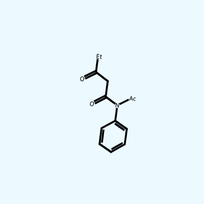 CCC(=O)CC(=O)N(C(C)=O)c1ccccc1